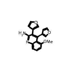 COc1cccc2nc(N)c(-c3ccoc3)c(-c3ccoc3)c12